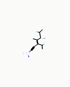 CNC#C/C(=C(\C)[C@H](C)C(C)F)C(C)F